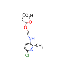 Cc1nc(Cl)ccc1NC=COC(=O)CC(=O)O